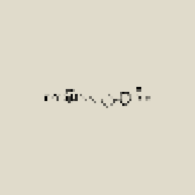 CCC[Si@H]1CC[C@H](CCCC[C@H]2CC[C@H](c3ccc(C(F)=CF)cc3)CC2)CC1